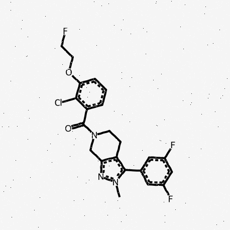 Cn1nc2c(c1-c1cc(F)cc(F)c1)CCN(C(=O)c1cccc(OCCF)c1Cl)C2